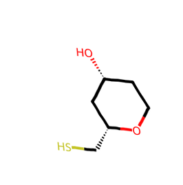 O[C@@H]1CCO[C@H](CS)C1